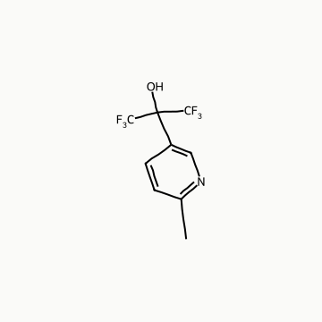 Cc1ccc(C(O)(C(F)(F)F)C(F)(F)F)cn1